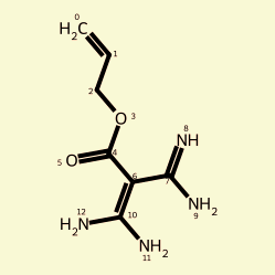 C=CCOC(=O)C(C(=N)N)=C(N)N